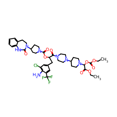 CCOC(=O)OC(C(=O)OCC)N1CCC(N2CCN(C(=O)C(Cc3cc(Cl)c(N)c(C(F)(F)F)c3)OC(=O)N3CCC(N4CCc5ccccc5NC4=O)CC3)CC2)CC1